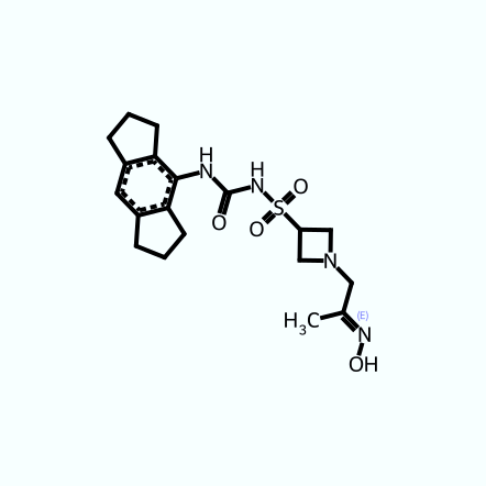 C/C(CN1CC(S(=O)(=O)NC(=O)Nc2c3c(cc4c2CCC4)CCC3)C1)=N\O